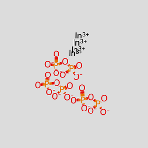 O=P([O-])([O-])OP(=O)([O-])[O-].O=P([O-])([O-])OP(=O)([O-])[O-].O=P([O-])([O-])OP(=O)([O-])[O-].[In+3].[In+3].[In+3].[In+3]